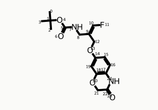 CC(C)(C)OC(=O)NC/C(=C/F)COc1ccc2c(c1)OCC(=O)N2